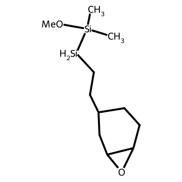 CO[Si](C)(C)[SiH2]CCC1CCC2OC2C1